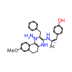 COc1ccc2c(c1)CCC1=C2N(N)C(Cc2ccccc2)=C(N/C(=C\c2ccc(O)cc2)C(C)=O)N1